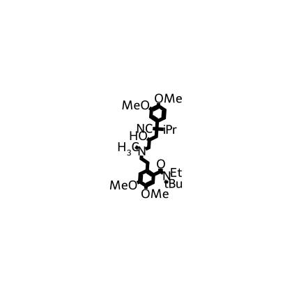 CCN(C(=O)c1cc(OC)c(OC)cc1CCN(C)CC(O)CC(C#N)(c1ccc(OC)c(OC)c1)C(C)C)C(C)(C)C